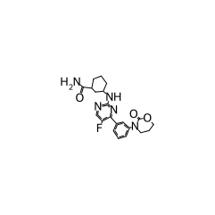 NC(=O)C1CCCC(Nc2ncc(F)c(-c3cccc(N4CCCOC4=O)c3)n2)C1